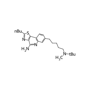 CCCCc1nc2c(N)nc3cc(CCCCCN(C)C(C)(C)C)ccc3c2s1